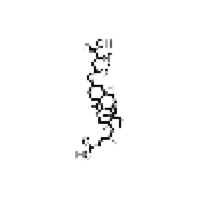 C[C@H](CCC(=O)O)[C@H]1CC[C@H]2[C@@H]3CC[C@@H]4C[C@@H](OC(=O)C[C@@H](C(=O)O)N(C)C)CC[C@]4(C)[C@H]3CC[C@]12C